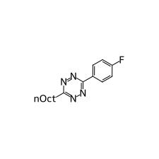 CCCCCCCCc1nnc(-c2ccc(F)cc2)nn1